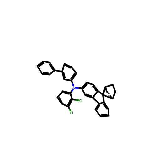 Clc1cccc(N(c2cccc(-c3ccccc3)c2)c2ccc3c(c2)-c2ccccc2C32C3CCC2CC3)c1Cl